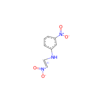 O=[N+]([O-])/C=[C]/Nc1cccc([N+](=O)[O-])c1